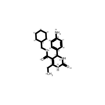 CCC1=C(C(=O)OCC2CCCCC2)C(c2ccc(N)cc2)NC(=O)N1